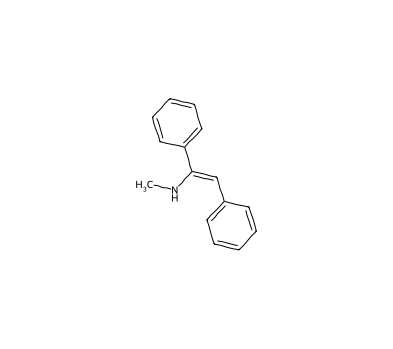 CN/C(=C\c1ccccc1)c1ccccc1